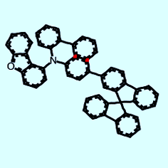 c1ccc(-c2ccccc2N(c2ccc(-c3ccc4c(c3)C3(c5ccccc5-c5ccccc53)c3ccccc3-4)cc2)c2cccc3oc4ccccc4c23)cc1